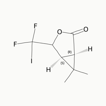 CC1(C)[C@@H]2C(=O)OC(C(F)(F)I)[C@@H]21